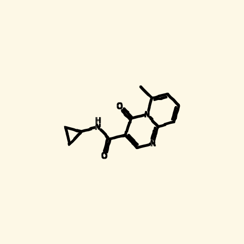 Cc1cccc2ncc(C(=O)NC3CC3)c(=O)n12